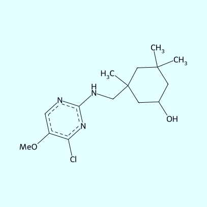 COc1cnc(NCC2(C)CC(O)CC(C)(C)C2)nc1Cl